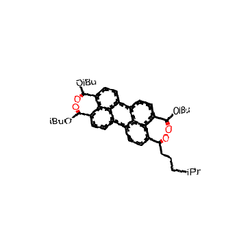 CC(C)CCCC(=O)c1ccc2c3ccc(C(=O)OCC(C)C)c4c(C(=O)OCC(C)C)ccc(c5ccc(C(=O)OCC(C)C)c1c25)c43